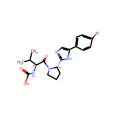 CC(C)[C@H](NC(=O)O)C(=O)N1CCC[C@H]1c1ncc(-c2ccc(Br)cc2)[nH]1